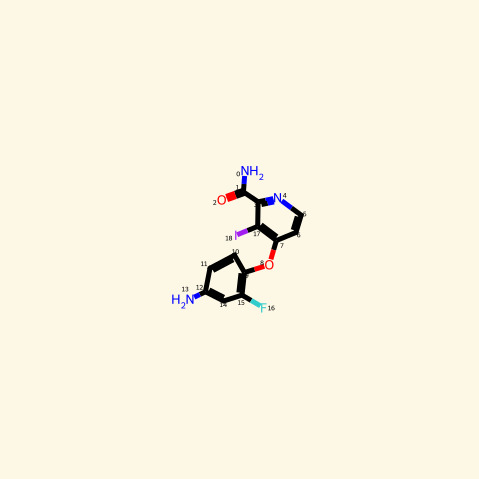 NC(=O)c1nccc(Oc2ccc(N)cc2F)c1I